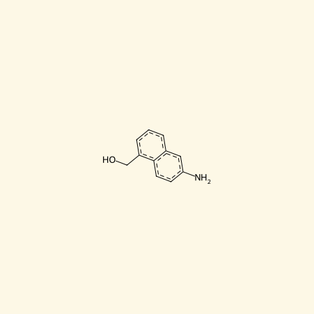 Nc1ccc2c(CO)cccc2c1